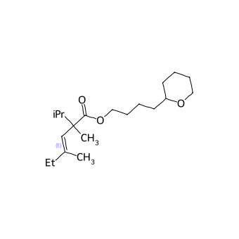 CC/C(C)=C/C(C)(C(=O)OCCCCC1CCCCO1)C(C)C